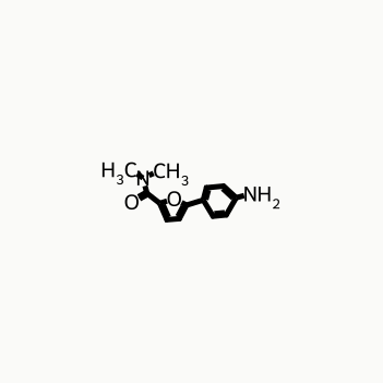 CN(C)C(=O)c1ccc(-c2ccc(N)cc2)o1